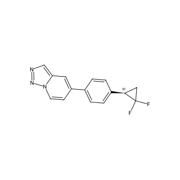 FC1(F)C[C@@H]1c1ccc(-c2ccn3nncc3c2)cc1